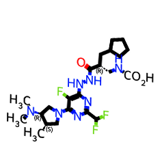 C[C@H]1CN(c2nc(C(F)F)nc(NNC(=O)[C@@H](CNC(=O)O)CC3CCCC3)c2F)C[C@@H]1N(C)C